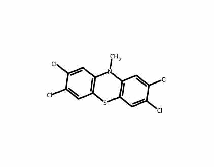 CN1c2cc(Cl)c(Cl)cc2Sc2cc(Cl)c(Cl)cc21